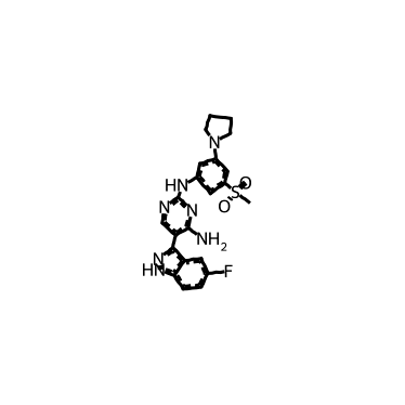 CS(=O)(=O)c1cc(Nc2ncc(-c3n[nH]c4ccc(F)cc34)c(N)n2)cc(N2CCCC2)c1